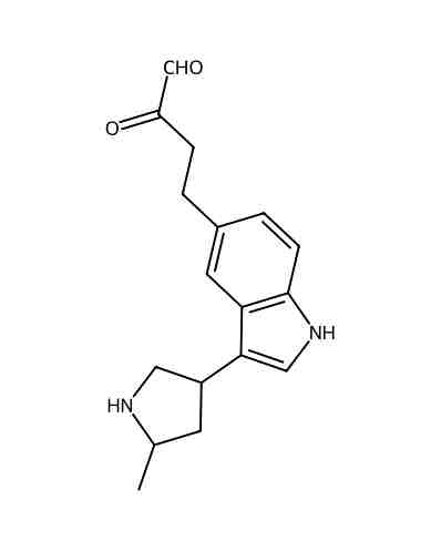 CC1CC(c2c[nH]c3ccc(CCC(=O)C=O)cc23)CN1